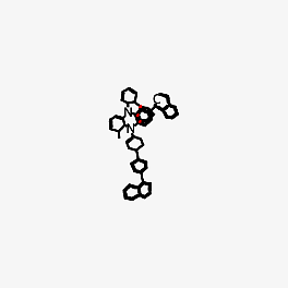 CC1C=CC=C(N2c3ccccc3C3C=CC=CC32)C1N(C1=CCC(c2ccc(-c3cccc4ccccc34)cc2)CC1)c1ccc(-c2cccc3ccccc23)cc1